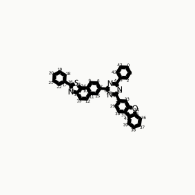 c1ccc(-c2nc(-c3ccc4c(ccc5nc(-c6ccccc6)sc54)c3)nc(-c3ccc4c(c3)oc3ccccc34)n2)cc1